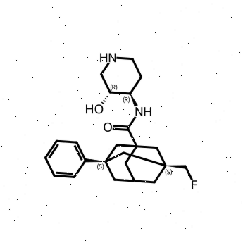 O=C(N[C@@H]1CCNC[C@H]1O)C12CC3C[C@@](CF)(C1)C[C@](c1ccccc1)(C3)C2